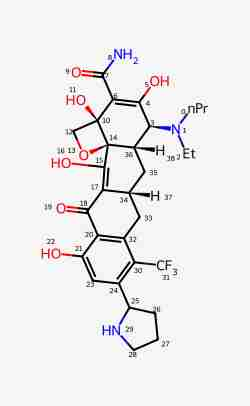 CCCN(CC)[C@@H]1C(O)=C(C(N)=O)[C@@]2(O)CO[C@@]23C(O)=C2C(=O)c4c(O)cc(C5CCCN5)c(C(F)(F)F)c4C[C@H]2C[C@@H]13